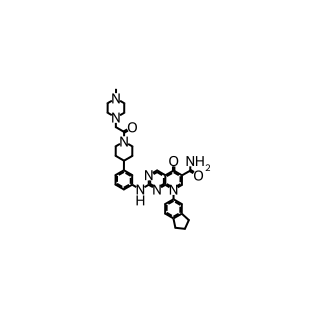 CN1CCN(CC(=O)N2CCC(c3cccc(Nc4ncc5c(=O)c(C(N)=O)cn(-c6ccc7c(c6)CCC7)c5n4)c3)CC2)CC1